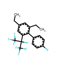 CCc1[c]c(CC)c(-c2ccc(F)cc2)c(C(F)(C(F)(F)F)C(F)(F)F)c1